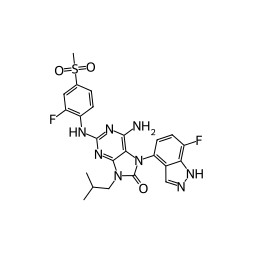 CC(C)Cn1c(=O)n(-c2ccc(F)c3[nH]ncc23)c2c(N)nc(Nc3ccc(S(C)(=O)=O)cc3F)nc21